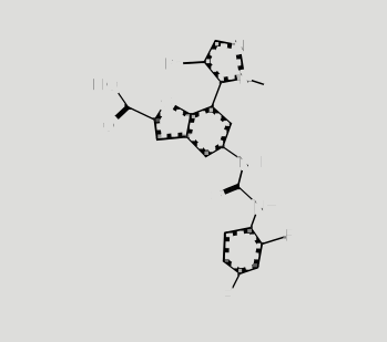 Cn1ncc(Br)c1-c1cc(NC(=O)Nc2ccc(F)cc2F)cc2cc(C(=O)O)oc12